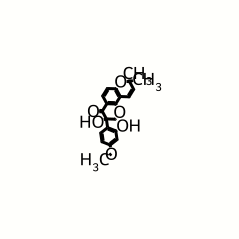 COc1ccc(C2(O)COc3c(ccc4c3C=CC(C)(C)O4)C2=O)c(O)c1